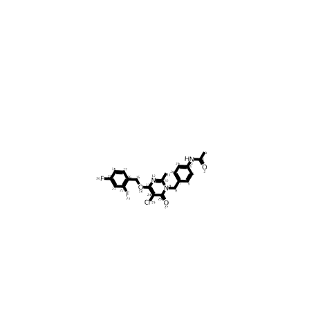 CC(=O)Nc1ccc(Cn2c(C)nc(OCc3ccc(F)cc3F)c(Cl)c2=O)cc1